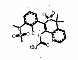 CN(c1cccc(C2=C(OC(=O)C(C)(C)C)c3ncccc3C(C)(C)S2(=O)=O)c1Cl)S(C)(=O)=O